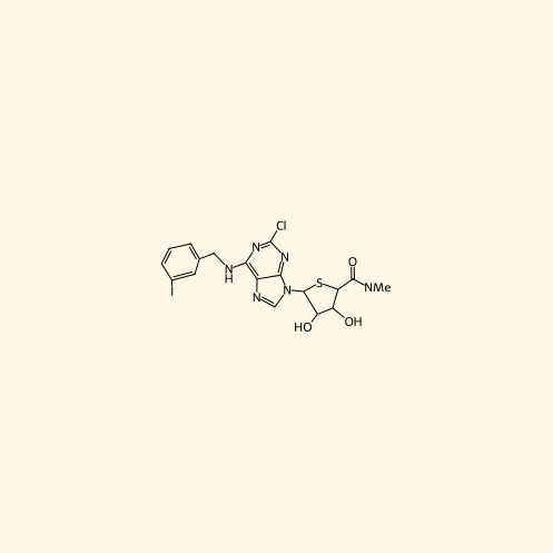 CNC(=O)C1SC(n2cnc3c(NCc4cccc(I)c4)nc(Cl)nc32)C(O)C1O